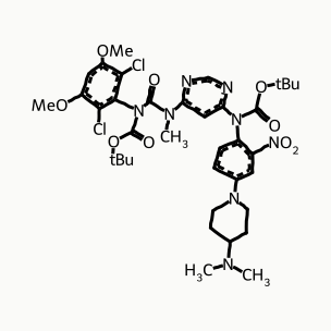 COc1cc(OC)c(Cl)c(N(C(=O)OC(C)(C)C)C(=O)N(C)c2cc(N(C(=O)OC(C)(C)C)c3ccc(N4CCC(N(C)C)CC4)cc3[N+](=O)[O-])ncn2)c1Cl